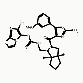 COc1cccc(-c2sc(C)nc2C(=O)N2C[C@@H]3CCC[C@@H]3[C@H]2CNC(=O)Oc2c(C)nc3sccn23)c1